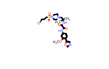 COc1cc(NC(=O)C(=O)NC(C)(C)CN2CCN(S(=O)(=O)CCCCl)CC2)ccc1-c1cnco1